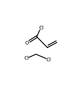 C=CC(=O)Cl.ClCCl